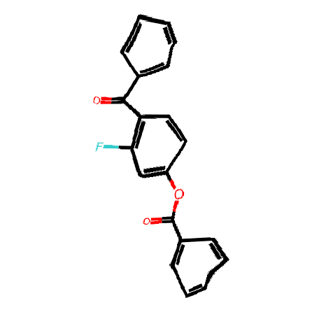 O=C(Oc1ccc(C(=O)c2ccccc2)c(F)c1)c1ccccc1